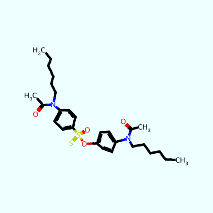 CCCCCCN(C(C)=O)c1ccc(OS(=O)(=S)c2ccc(N(CCCCCC)C(C)=O)cc2)cc1